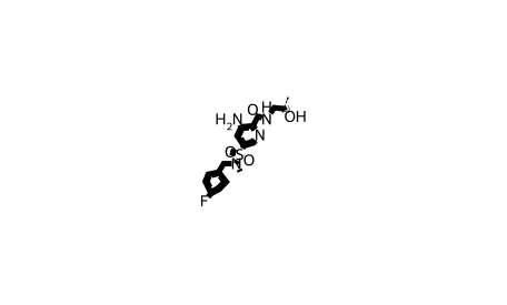 C[C@H](O)CNC(=O)c1ncc(S(=O)(=O)N(C)Cc2ccc(F)cc2)cc1N